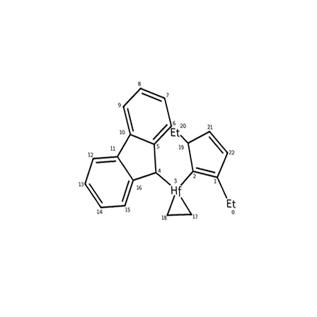 CCC1=[C]([Hf]2([CH]3c4ccccc4-c4ccccc43)[CH2][CH2]2)C(CC)C=C1